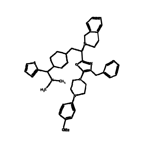 COc1ccc(N2CCN(c3oc(C(CC4CCC(C(c5cccs5)N(C)C)CC4)N4CCc5ccccc5C4)nc3Cc3ccccc3)CC2)cc1